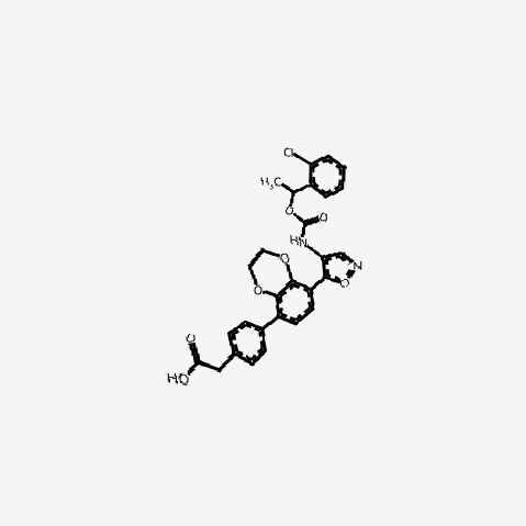 CC(OC(=O)Nc1cnoc1-c1ccc(-c2ccc(CC(=O)O)cc2)c2c1OCCO2)c1ccccc1Cl